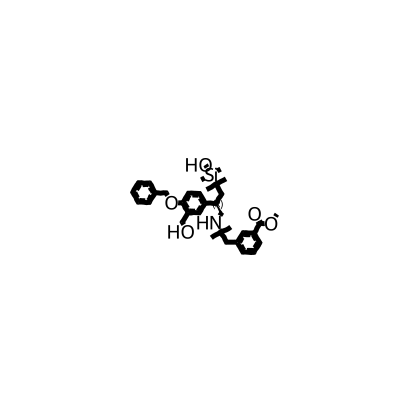 COC(=O)c1cccc(CC(C)(C)NC[C@H](CC(C)(C)[Si](C)(C)O)c2ccc(OCc3ccccc3)c(CO)c2)c1